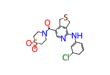 O=C(c1cnc(NC2=CC(Cl)CC=C2)c2c1CSC2)N1CCS(=O)(=O)CC1